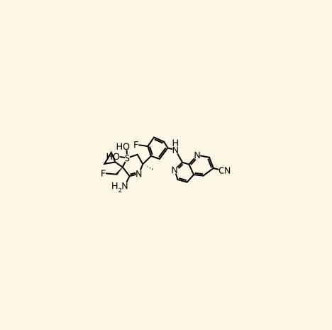 C[C@@]1(c2cc(Nc3nccc4cc(C#N)cnc34)ccc2F)CS(O)(O)[C@@](CF)(C2CC2)C(N)=N1